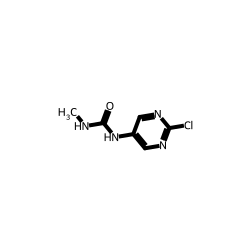 CNC(=O)Nc1cnc(Cl)nc1